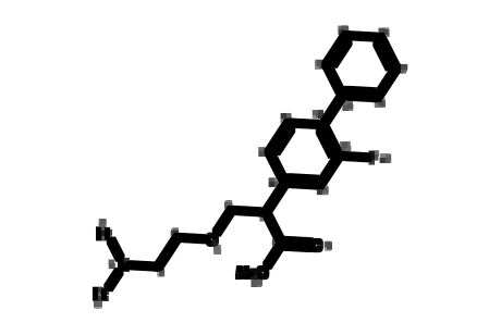 CCN(CC)CCOCC(C(=O)OC)c1ccc(-c2ccccc2)c(F)c1